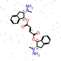 CN(N)[C@H]1Cc2ccccc2[C@@H]1OC(=O)/C=C/C(=O)O[C@H]1c2ccccc2C[C@@H]1N(C)N